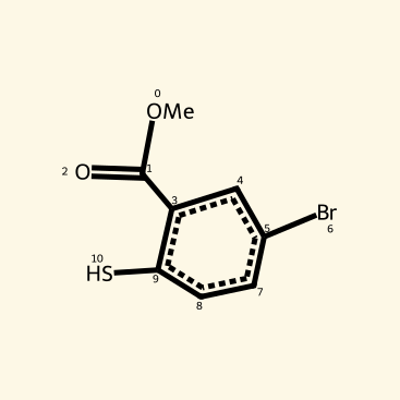 COC(=O)c1cc(Br)ccc1S